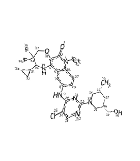 CCn1c(=O)c2c(c3cc(Nc4nc(N5C[C@H](C)C[C@H](CO)C5)ncc4Cl)ccc31)NC(C1CC1)C(F)(F)CO2